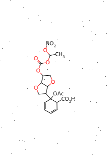 CC(=O)OC1(C2COC3C(OC(=O)OC(C)O[N+](=O)[O-])COC32)C=CC=CC1C(=O)O